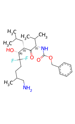 CC(C)C[C@H](C(=O)[C@@H](NC(=O)OCc1ccccc1)C(C)C)[C@@H](O)C(F)(F)CCC(C)CN